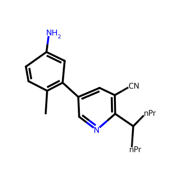 CCCC(CCC)c1ncc(-c2cc(N)ccc2C)cc1C#N